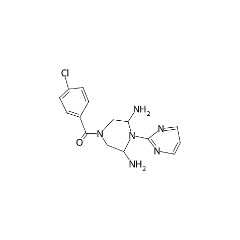 NC1CN(C(=O)c2ccc(Cl)cc2)CC(N)N1c1ncccn1